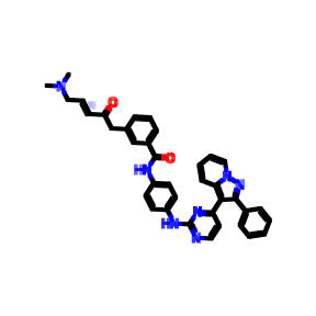 CN(C)C/C=C/C(=O)Cc1cccc(C(=O)Nc2ccc(Nc3nccc(-c4c(-c5ccccc5)nn5ccccc45)n3)cc2)c1